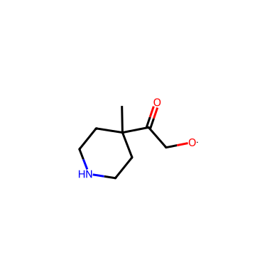 CC1(C(=O)C[O])CCNCC1